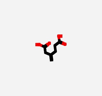 C=C(CCC(=O)O)CC(=O)O